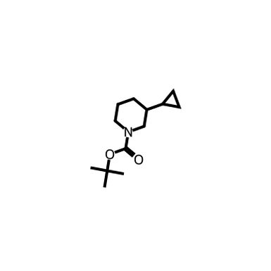 CC(C)(C)OC(=O)N1CCCC(C2CC2)C1